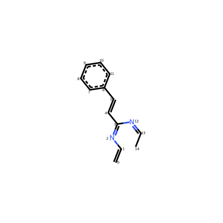 C=C/N=C(/C=C/c1ccccc1)\N=C/C